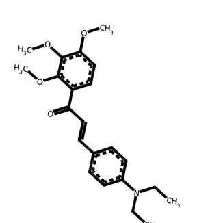 CCN(CC)c1ccc(C=CC(=O)c2ccc(OC)c(OC)c2OC)cc1